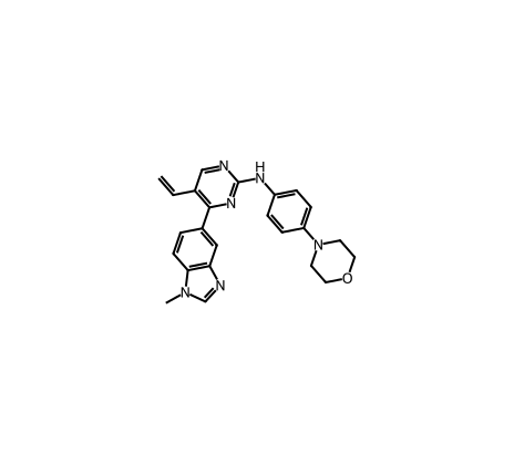 C=Cc1cnc(Nc2ccc(N3CCOCC3)cc2)nc1-c1ccc2c(c1)ncn2C